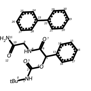 CC(C)(C)NC(=O)OC(C(=O)NCC(N)=O)c1ccccc1.c1ccc(-c2ccccc2)cc1